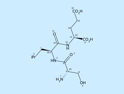 CC(C)C[C@H](NC(=O)[C@@H](N)CO)C(=O)N[C@@H](CCC(=O)O)C(=O)O